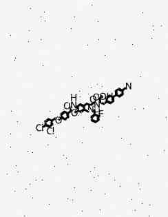 N#Cc1ccc(-c2ccc(CC(NC(=O)C3Cc4cc5c(cc4CN3Cc3ccccc3F)OC(c3ccc(OCc4ccc(Cl)c(Cl)c4)cc3)C(=O)N5)C(=O)O)cc2)cc1